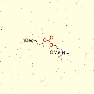 CCCCCCCCCCCCC(CCOC)OC(=O)OCCCN(CC)CC